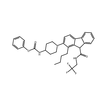 CCCCc1c(N2CCC(NC(=O)Oc3ccccc3)CC2)ccc2c1C(C(=O)NCC(F)(F)F)c1ccccc1-2